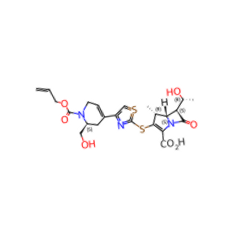 C=CCOC(=O)N1CC=C(c2csc(SC3=C(C(=O)O)N4C(=O)[C@H]([C@@H](C)O)[C@H]4[C@H]3C)n2)C[C@H]1CO